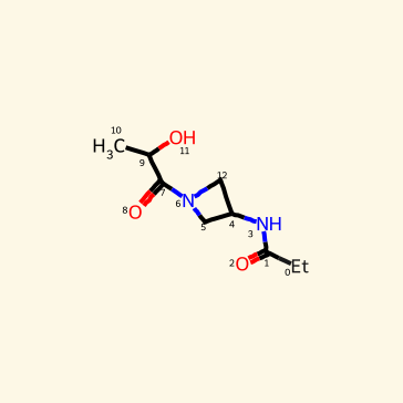 CCC(=O)NC1CN(C(=O)C(C)O)C1